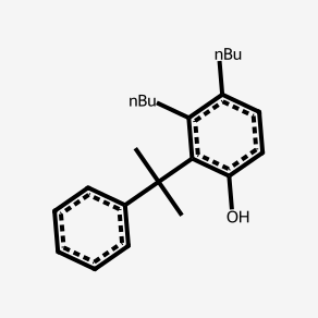 CCCCc1ccc(O)c(C(C)(C)c2ccccc2)c1CCCC